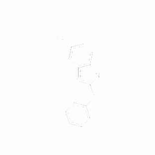 Clc1ccc2nc(Oc3cc[c]cc3)sc2c1